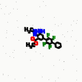 CN/N=C1\C(=N)C=C(c2c(F)c(F)c(-c3ccccc3)c(F)c2F)C=C1C(=O)OC